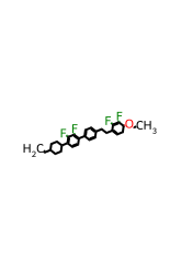 C=CC1CCC(c2ccc(-c3ccc(CCC4=CCC(OCC)C(F)=C4F)cc3)c(F)c2F)CC1